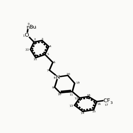 CCCCOc1ccc(CCN2CC=C(c3cccc(C(F)(F)F)c3)CC2)cc1